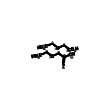 O=C(O)COCC(=O)O.O=C(O)COCC(O)=S